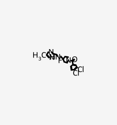 Cc1cnc(CNCC2(F)CCN(C(=O)c3ccc(Cl)c(Cl)c3)CC2)nc1